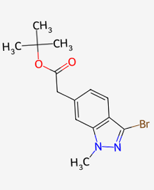 Cn1nc(Br)c2ccc(CC(=O)OC(C)(C)C)cc21